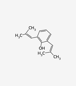 CC(C)=Cc1cccc(C=C(C)C)c1O